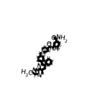 Cc1cc2ncc3cc(-c4ccccc4)c(-c4ccc(CN5CCC(C(=O)Nc6cccc(C(N)=O)c6)CC5)cc4)nc3n2n1